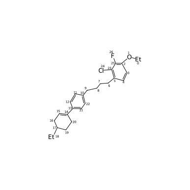 CCOc1ccc(CCCCc2ccc(C3=CCC(CC)CC3)cc2)c(Cl)c1F